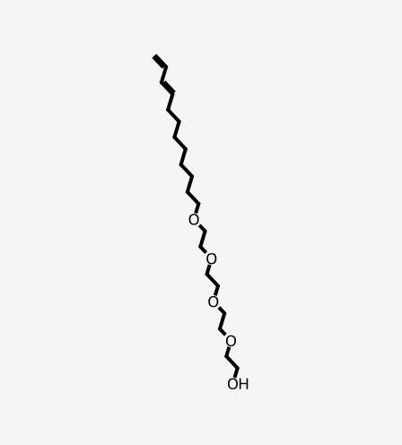 C=CC=CCCCCCCCCOCCOCCOCCOCCO